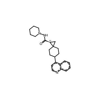 O=C(NN1CCCCC1)[C@H]1CC12CCC(c1ccnc3ccccc13)CC2